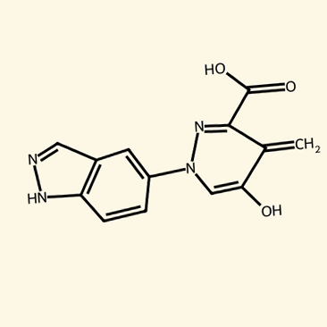 C=C1C(O)=CN(c2ccc3[nH]ncc3c2)N=C1C(=O)O